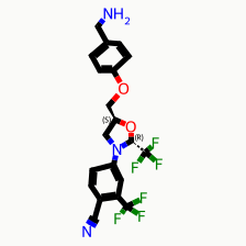 N#Cc1ccc(N2C[C@@H](COc3ccc(CN)cc3)O[C@@H]2C(F)(F)F)cc1C(F)(F)F